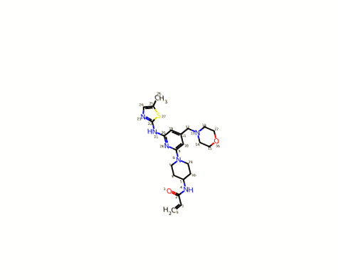 C=CC(=O)NC1CCN(c2cc(CN3CCOCC3)cc(Nc3ncc(C)s3)n2)CC1